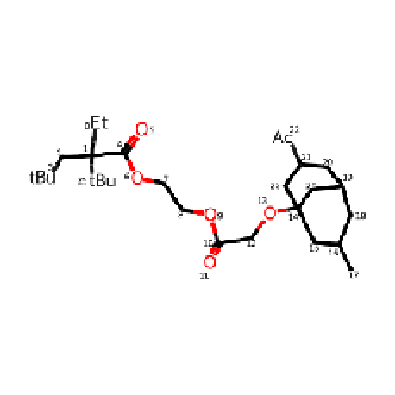 CCC(CC(C)(C)C)(C(=O)OCCOC(=O)COC12CC(C)CC(CC(C(C)=O)C1)C2)C(C)(C)C